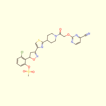 CS(=O)(=O)Oc1cccc(Cl)c1C1CC(c2csc(C3CCN(C(=O)COc4nccc(C#N)n4)CC3)n2)=NO1